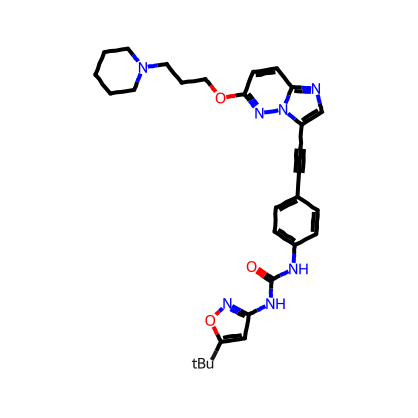 CC(C)(C)c1cc(NC(=O)Nc2ccc(C#Cc3cnc4ccc(OCCCN5CCCCC5)nn34)cc2)no1